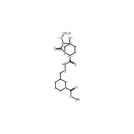 CC(C)(C)OC(=O)N1CCCC(CONC(=O)[C@@H]2CC[C@@H]3CN2C(=O)N3OS(=O)(=O)O)C1